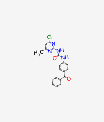 Cc1cc(Cl)nc(NC(=O)Nc2ccc(C(=O)c3ccccc3)cc2)n1